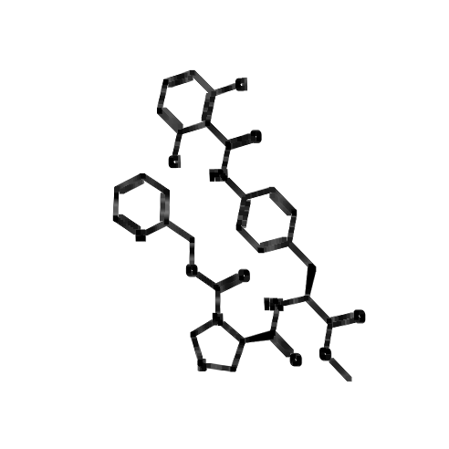 COC(=O)[C@H](Cc1ccc(NC(=O)c2c(Cl)cccc2Cl)cc1)NC(=O)[C@H]1CSCN1C(=O)OCc1ccccn1